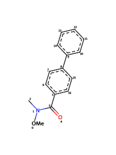 CON(C)C(=O)c1c[c]c(-c2ccccc2)cc1